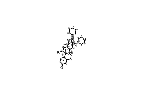 C[C@]12C=CC(=O)C=C1CC[C@@H]1[C@@H]2[C@@H](O)C[C@@]2(C)[C@H]1C[C@H]1O[C@@H](C3CCCCC3)O[C@]12C(=O)CN1CCOCC1